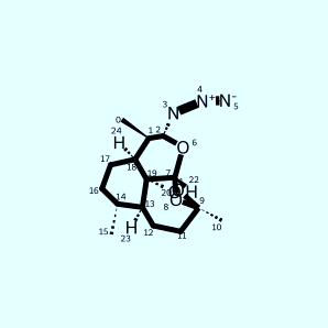 C[C@H]1[C@H](N=[N+]=[N-])O[C@@H]2O[C@]3(C)CC[C@H]4[C@H](C)CC[C@@H]1[C@@]24OO3